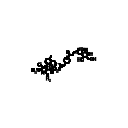 CCCCCCN(CCC(=O)N1CCC(CN(C[C@H](CNC(=O)c2nc(Cl)c(N)nc2N)Cc2ccccc2C)C(=O)O)CC1)C[C@H](O)[C@@H](O)[C@H](O)CO